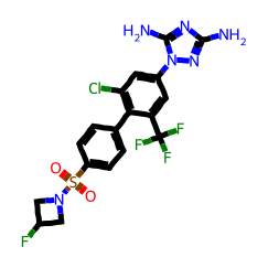 Nc1nc(N)n(-c2cc(Cl)c(-c3ccc(S(=O)(=O)N4CC(F)C4)cc3)c(C(F)(F)F)c2)n1